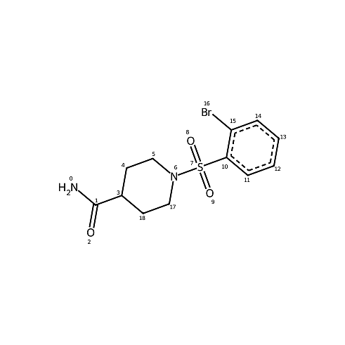 NC(=O)C1CCN(S(=O)(=O)c2ccccc2Br)CC1